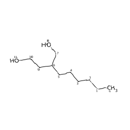 CCCCCCC(CO)CCO